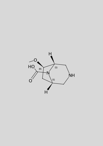 CO[C@@H]1C[C@H]2CNC[C@@H]1N2C(=O)O